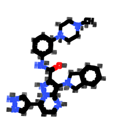 CN1CCN(c2cccc(NC(=O)c3nn4c(-c5cn[nH]c5)ccnc4c3N3Cc4ccccc4C3)c2)CC1